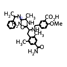 C=C(/N=C(\N)C(C)NC(=O)C(Cc1c(C)cc(C(N)=O)cc1C)NCc1ccc(OC)c(C(=O)O)c1)c1ccccc1